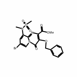 COC(=O)c1nc2c(N(C)S(C)(=O)=O)cc(Br)cn2c(=O)c1OCc1ccccc1